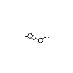 N/C(=N\O)c1cccc(C2Cc3cc(Cl)cc(Cl)c3O2)c1